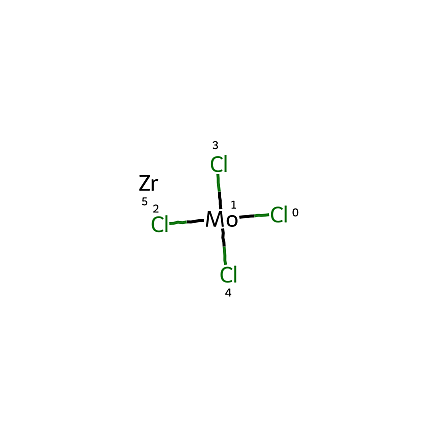 [Cl][Mo]([Cl])([Cl])[Cl].[Zr]